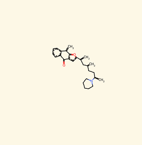 C=C(CCC(=C)N1CCCCC1)CC(=C)c1cc2c(o1)C(=C)c1ccccc1C2=O